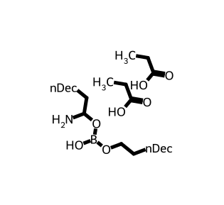 CCC(=O)O.CCC(=O)O.CCCCCCCCCCCCOB(O)OC(N)CCCCCCCCCCC